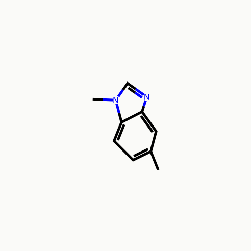 Cc1ccc2c(c1)n[c]n2C